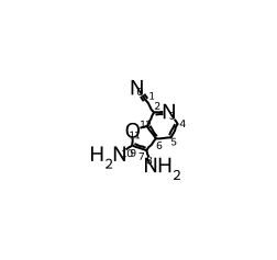 N#Cc1nccc2c(N)c(N)oc12